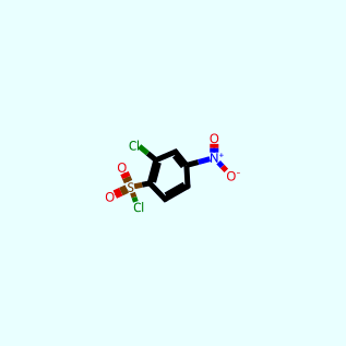 O=[N+]([O-])c1ccc(S(=O)(=O)Cl)c(Cl)c1